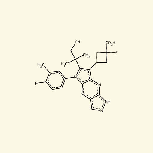 Cc1cc(-n2c(C(C)(C)CC#N)c(C3CC(F)(C(=O)O)C3)c3nc4[nH]ncc4cc32)ccc1F